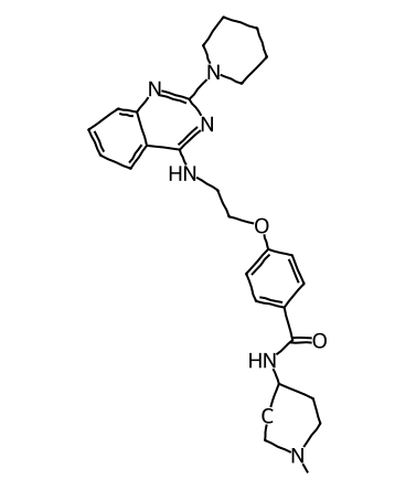 CN1CCC(NC(=O)c2ccc(OCCNc3nc(N4CCCCC4)nc4ccccc34)cc2)CC1